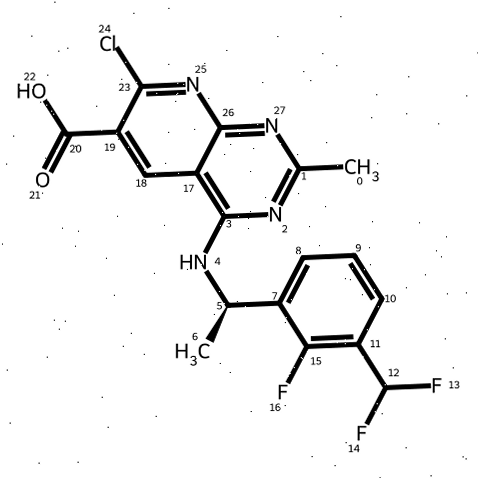 Cc1nc(N[C@H](C)c2cccc(C(F)F)c2F)c2cc(C(=O)O)c(Cl)nc2n1